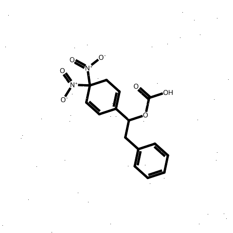 O=C(O)OC(Cc1ccccc1)C1=CCC([N+](=O)[O-])([N+](=O)[O-])C=C1